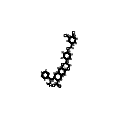 CC[C@@H](c1ccccc1)N1Cc2cc3c(cc2C[C@H]1C(=O)O)OCC(c1ccc(OCc2ccc(Cl)c(Cl)c2)cc1)O3